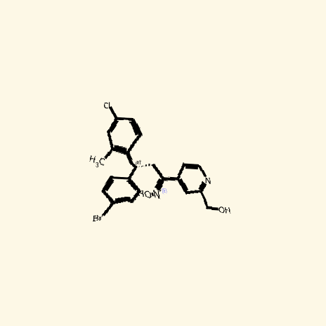 Cc1cc(Cl)ccc1[C@H](C/C(=N\O)c1ccnc(CO)c1)c1ccc(Br)cc1